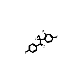 O=C(c1ccc(I)cc1)C1(c2ccc(F)cc2F)CO1